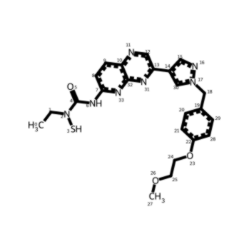 CCN(S)C(=O)Nc1ccc2ncc(-c3cnn(Cc4ccc(OCCOC)cc4)c3)nc2n1